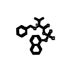 CN(C)[C@@H](OCc1ccccc1)C(=O)OP(=O)(Cl)Oc1cccc2ccccc12